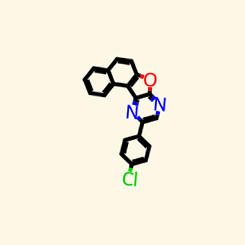 Clc1ccc(-c2cnc3oc4ccc5ccccc5c4c3n2)cc1